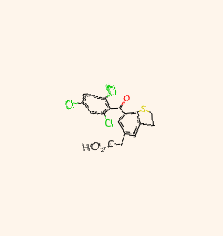 O=C(O)Cc1cc2c(c(C(=O)c3c(Cl)cc(Cl)cc3Cl)c1)SCC2